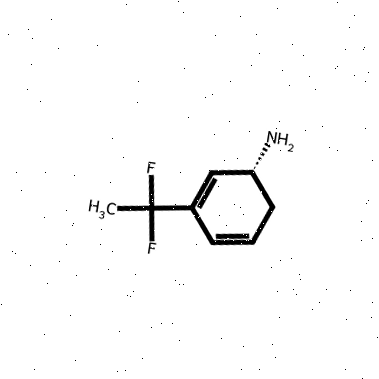 CC(F)(F)C1=C[C@H](N)CC=C1